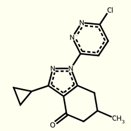 CC1CC(=O)c2c(C3CC3)nn(-c3ccc(Cl)nn3)c2C1